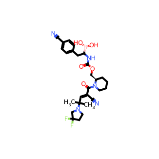 CC(C)(C=C(C#N)C(=O)N1CCCC[C@@H]1COC(=O)NC(Cc1ccc(C#N)cc1)B(O)O)N1CCC(F)(F)C1